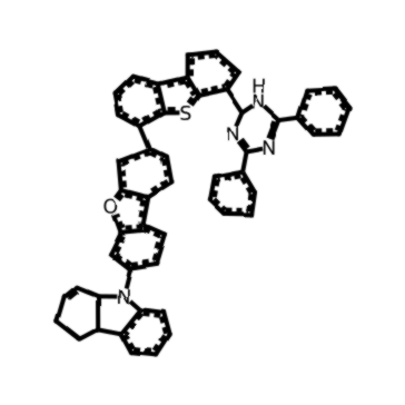 C1=CC2C(CC1)c1ccccc1N2c1ccc2c(c1)oc1cc(-c3cccc4c3sc3c(C5N=C(c6ccccc6)N=C(c6ccccc6)N5)cccc34)ccc12